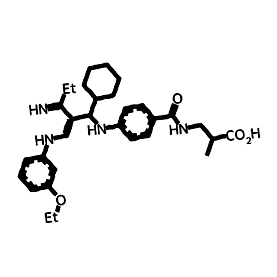 CCOc1cccc(N/C=C(\C(=N)CC)C(Nc2ccc(C(=O)NCC(C)C(=O)O)cc2)C2CCCCC2)c1